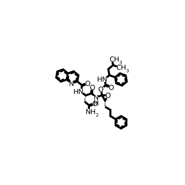 CC(C)CC(NC(=O)OC1(NC(=O)[C@H](CC(N)=O)NC(=O)c2ccc3ccccc3n2)O[C@@H]1CCCc1ccccc1)c1ccccc1